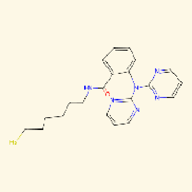 O=C(NCCCCCCS)c1ccccc1N(c1ncccn1)c1ncccn1